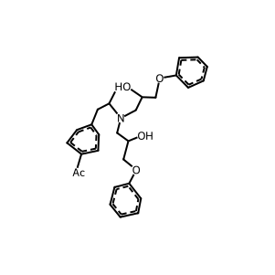 CC(=O)c1ccc(CC(C)N(CC(O)COc2ccccc2)CC(O)COc2ccccc2)cc1